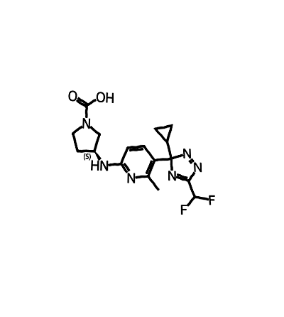 Cc1nc(N[C@H]2CCN(C(=O)O)C2)ccc1C1(C2CC2)N=NC(C(F)F)=N1